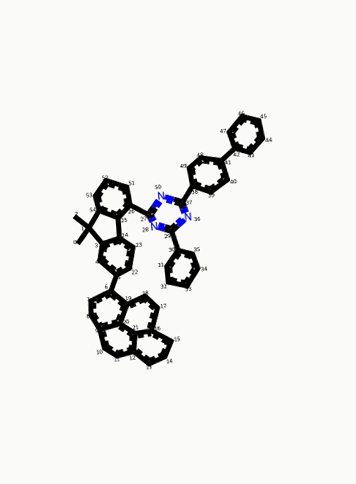 CC1(C)c2cc(-c3ccc4ccc5cccc6ccc3c4c56)ccc2-c2c(-c3nc(-c4ccccc4)nc(-c4ccc(-c5ccccc5)cc4)n3)cccc21